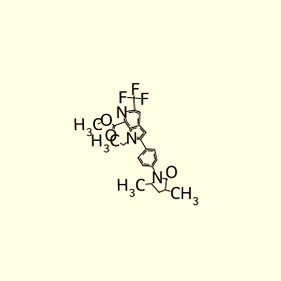 CCn1c(-c2ccc(N3C(=O)C(C)CC3C)cc2)cc2cc(C(F)(F)F)nc(C(=O)OC)c21